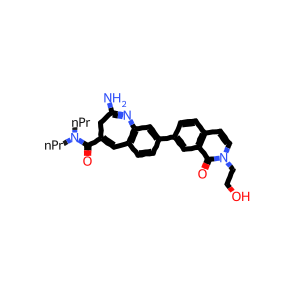 CCCN(CCC)C(=O)C1=Cc2ccc(-c3ccc4ccn(CCO)c(=O)c4c3)cc2N=C(N)C1